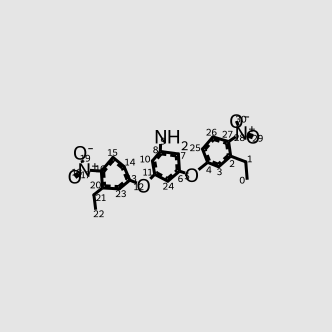 CCc1cc(Oc2cc(N)cc(Oc3ccc([N+](=O)[O-])c(CC)c3)c2)ccc1[N+](=O)[O-]